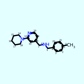 Cc1ccc(CNCc2ccnc(N3CCCCC3)c2)cc1